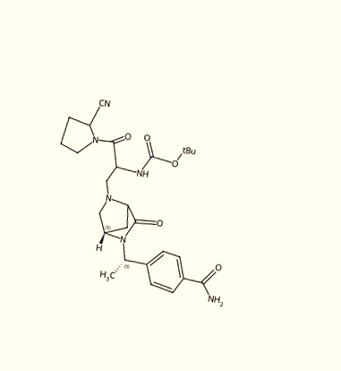 C[C@@H](c1ccc(C(N)=O)cc1)N1C(=O)C2C[C@H]1CN2CC(NC(=O)OC(C)(C)C)C(=O)N1CCCC1C#N